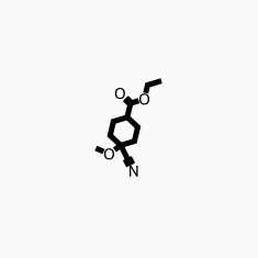 CCOC(=O)C1CCC(C#N)(OC)CC1